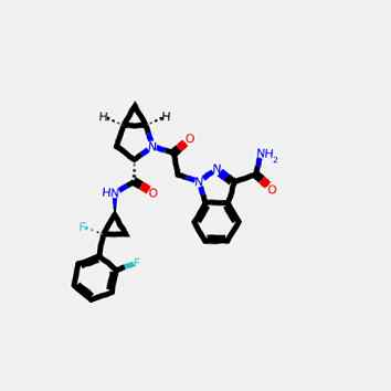 NC(=O)c1nn(CC(=O)N2[C@@H]3C[C@@H]3C[C@H]2C(=O)N[C@H]2C[C@@]2(F)c2ccccc2F)c2ccccc12